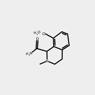 CN1CCc2cccc(Cl)c2C1C(N)=O.O